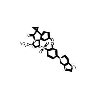 O=C(O)[C@@H]1C[C@@H](S(=O)(=O)c2ccc(N3C=Cc4[nH]cnc4C3)cc2Cl)CN1C(=O)C1(c2ccc(Cl)cc2)CC1